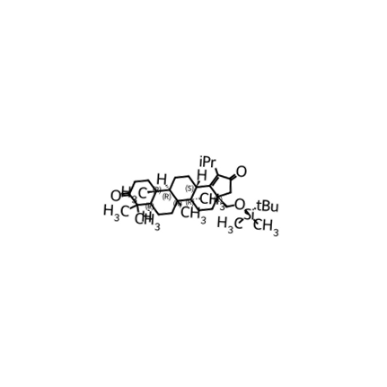 CC(C)C1=C2[C@H]3CC[C@@H]4[C@@]5(C)CCC(=O)C(C)(C)[C@@H]5CC[C@@]4(C)[C@]3(C)CC[C@@]2(CO[Si](C)(C)C(C)(C)C)CC1=O